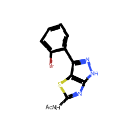 CC(=O)Nc1nc2[nH]nc(-c3ccccc3Br)c2s1